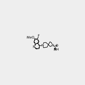 COc1cc2nccc(N3CCC4(CC3)CCN([SH](=N)=O)C4)c2cc1F